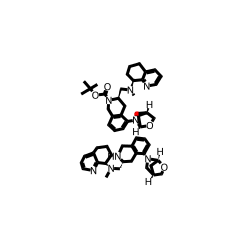 CN(C[C@H]1Cc2c(cccc2N2C[C@@H]3CO[C@H]2C3)CN1)[C@H]1CCCc2cccnc21.CN(C[C@H]1Cc2c(cccc2N2C[C@@H]3CO[C@H]2C3)CN1C(=O)OC(C)(C)C)[C@H]1CCCc2cccnc21